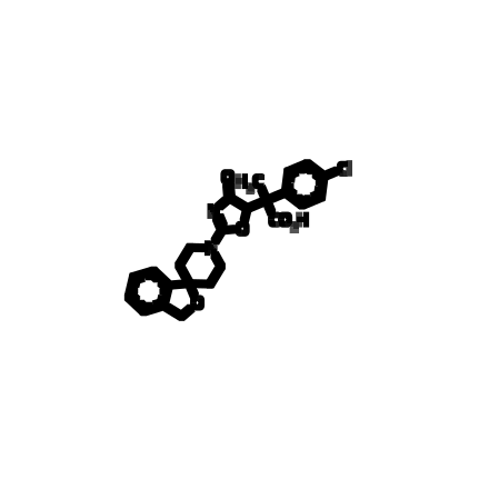 CC(C(=O)O)(c1ccc(Cl)cc1)C1OC(N2CCC3(CC2)OCc2ccccc23)=NC1=O